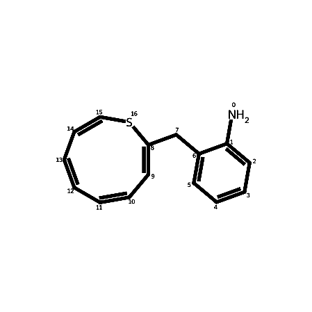 Nc1ccccc1Cc1cccccccs1